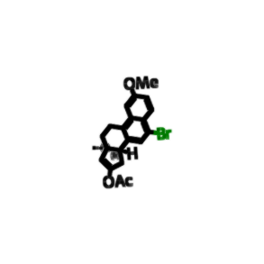 COc1ccc2c(Br)cc3c(c2c1)CC[C@]1(C)C=C(OC(C)=O)C[C@@H]31